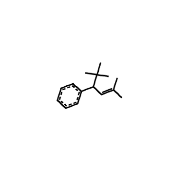 CC(C)=CC(c1ccccc1)C(C)(C)C